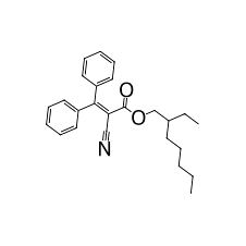 CCCCCC(CC)COC(=O)C(C#N)=C(c1ccccc1)c1ccccc1